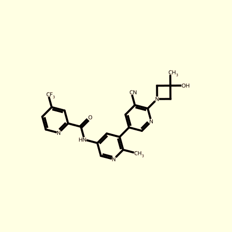 Cc1ncc(NC(=O)c2cc(C(F)(F)F)ccn2)cc1-c1cnc(N2CC(C)(O)C2)c(C#N)c1